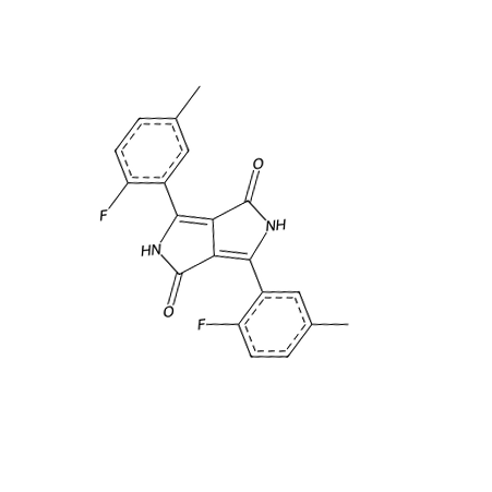 Cc1ccc(F)c(C2=C3C(=O)NC(c4cc(C)ccc4F)=C3C(=O)N2)c1